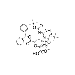 CC(=O)N[C@H]1[C@H](C(=O)O)OC(C(=O)OC(c2ccccc2)c2ccccc2)=C[C@@H]1N(C(=O)OC(C)(C)C)C(N)=NC(=O)OC(C)(C)C